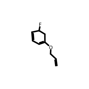 C=CCOC1=CC=C[C](F)C1